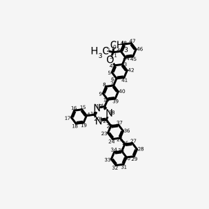 CC1(C)Oc2cc(-c3ccc(-c4nc(-c5ccccc5)nc(-c5ccc(-c6cccc7ccccc67)cc5)n4)cc3)ccc2-c2ccccc21